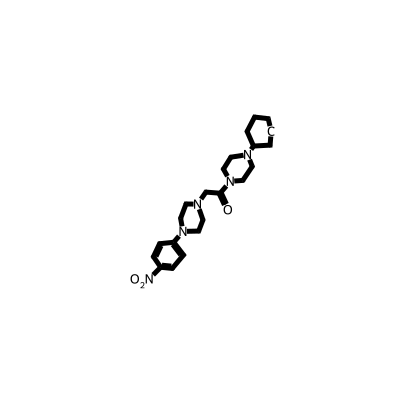 O=C(CN1CCN(c2ccc([N+](=O)[O-])cc2)CC1)N1CCN(C2CCCCC2)CC1